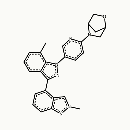 Cc1cccc2c(-c3cccc4nn(C)cc34)nn(-c3ccc(N4CC5CC4CO5)nc3)c12